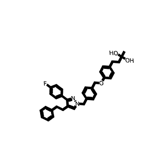 CC(O)(O)CCc1ccc(OCc2ccc(Cn3cc(CCc4ccccc4)c(-c4ccc(F)cc4)n3)cc2)cc1